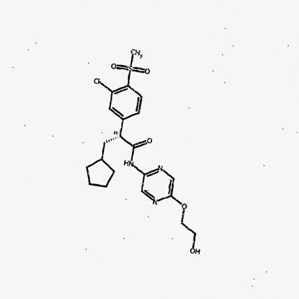 CS(=O)(=O)c1ccc([C@@H](CC2CCCC2)C(=O)Nc2cnc(OCCO)cn2)cc1Cl